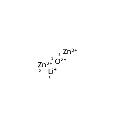 [Li+].[O-2].[Zn+2].[Zn+2]